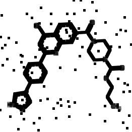 CCCOC(=O)N1CCN(C(=O)c2ccc3c(Cl)cc(-c4ccc(-c5cn[nH]c5)cc4)nc3c2)CC1